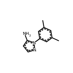 Cc1cc(C)cc(-n2nccc2N)c1